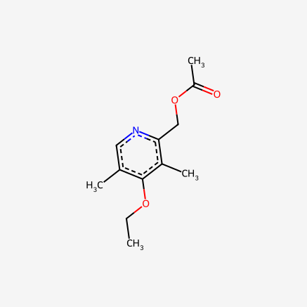 CCOc1c(C)cnc(COC(C)=O)c1C